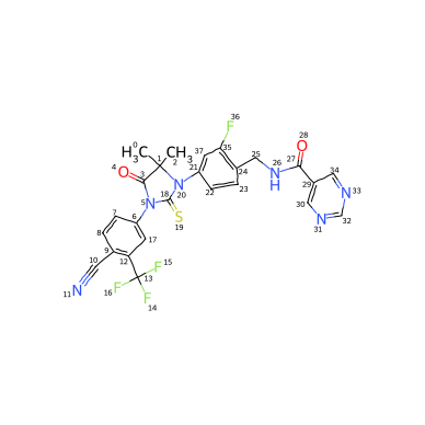 CC1(C)C(=O)N(c2ccc(C#N)c(C(F)(F)F)c2)C(=S)N1c1ccc(CNC(=O)c2cncnc2)c(F)c1